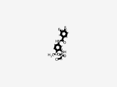 COc1ccc(NC(=O)c2ccc(F)c(F)c2)cc1NS(=O)(=O)CCl